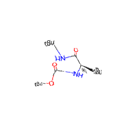 CCCC[C@@H](NC(=O)OC(C)(C)C)C(=O)NC(C)(C)C